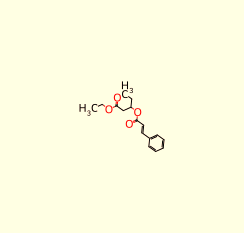 CCOC(=O)CC(CC)OC(=O)C=Cc1ccccc1